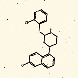 [O]c1ccc2c(C3CCNC(Oc4ccccc4Cl)C3)cccc2c1